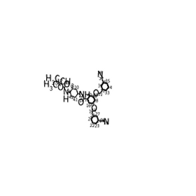 CC(C)(C)OC(=O)NC1CCC(NC(=O)c2cc(OCc3cccc(C#N)c3)cc(OCc3cccc(C#N)c3)c2)CC1